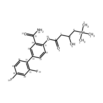 C[N+](C)(C)CC(O)CC(=O)Oc1ccc(-c2ccc(F)cc2F)cc1C(N)=O